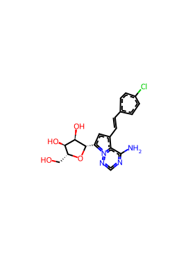 Nc1ncnn2c([C@@H]3O[C@H](CO)[C@@H](O)[C@H]3O)cc(/C=C/c3ccc(Cl)cc3)c12